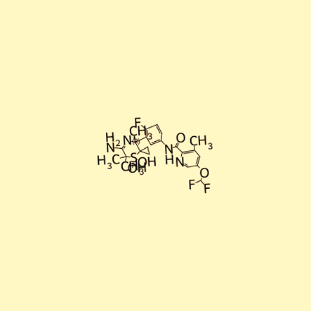 Cc1cc(OC(F)F)cnc1C(=O)Nc1ccc(F)c([C@@]2(C)N=C(N)C(C)(C)S(O)(O)C23CC3)c1